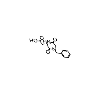 O=C(O)C[C@@H]1NC(=O)CN(Cc2ccccc2)C1=O